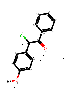 COc1ccc(C(Cl)C(=O)c2ccccc2)cc1